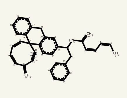 C=C(/C=C\C=C/C)NC(Cc1ccccc1)c1ccc2c(c1)Cc1ccccc1C21C=C/C=C\C(=C)c2ccccc21